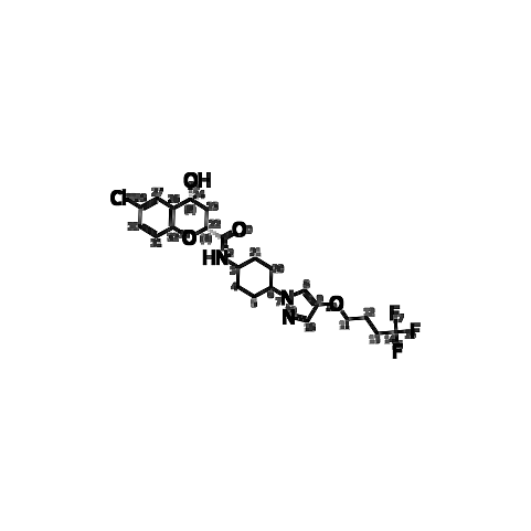 O=C(NC1CCC(n2cc(OCCCC(F)(F)F)cn2)CC1)[C@H]1C[C@@H](O)c2cc(Cl)ccc2O1